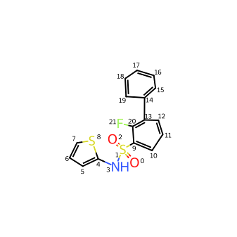 O=S(=O)(Nc1cccs1)c1cccc(-c2ccccc2)c1F